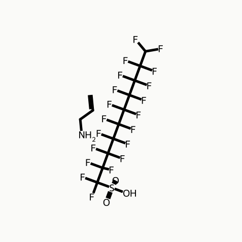 C=CCN.O=S(=O)(O)C(F)(F)C(F)(F)C(F)(F)C(F)(F)C(F)(F)C(F)(F)C(F)(F)C(F)(F)C(F)(F)C(F)F